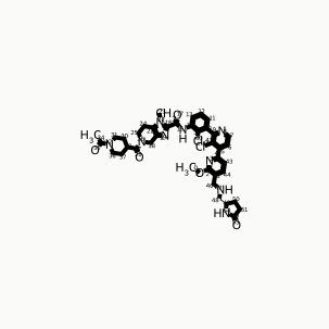 COc1nc(-c2ccnc(-c3cccc(NC(=O)c4nc5c(n4C)CCN(C(=O)C4CCN(C(C)=O)CC4)C5)c3Cl)c2Cl)ccc1CNC[C@@H]1CCC(=O)N1